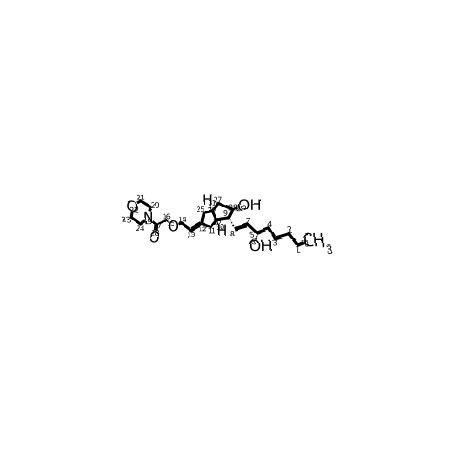 CCCCC[C@H](O)/C=C/[C@@H]1[C@H]2C/C(=C/COCC(=O)N3CCOCC3)C[C@H]2C[C@H]1O